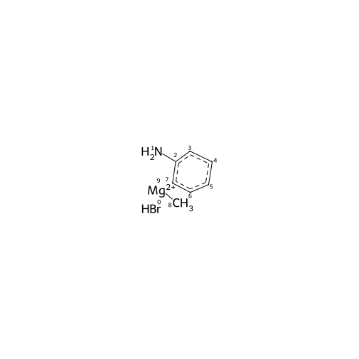 Br.Nc1ccccc1.[CH3][Mg+2]